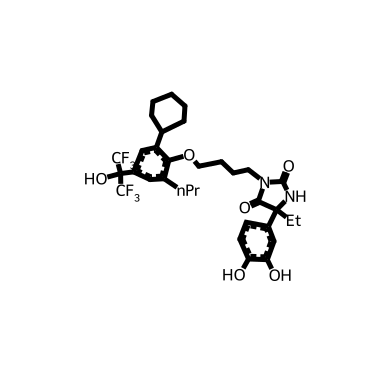 CCCc1cc(C(O)(C(F)(F)F)C(F)(F)F)cc(C2CCCCC2)c1OCCCCN1C(=O)NC(CC)(c2ccc(O)c(O)c2)C1=O